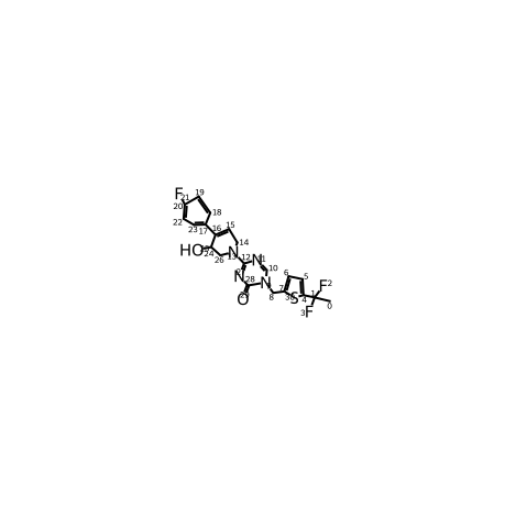 CC(F)(F)c1ccc(Cn2cnc(N3CC=C(c4ccc(F)cc4)C(O)C3)nc2=O)s1